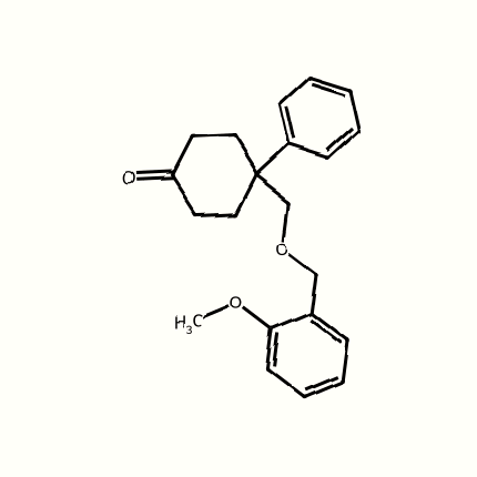 COc1ccccc1COCC1(c2ccccc2)CCC(=O)CC1